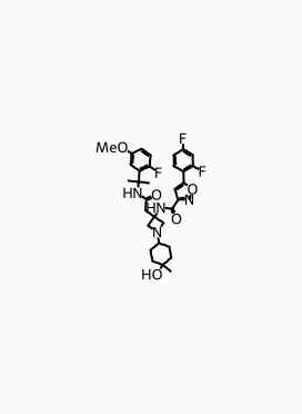 COc1ccc(F)c(C(C)(C)NC(=O)CC2(NC(=O)c3cc(-c4ccc(F)cc4F)on3)CN(C3CCC(C)(O)CC3)C2)c1